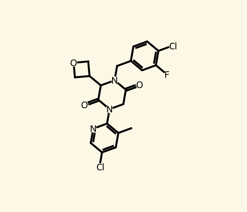 Cc1cc(Cl)cnc1N1CC(=O)N(Cc2ccc(Cl)c(F)c2)C(C2COC2)C1=O